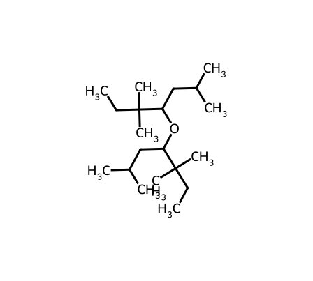 CCC(C)(C)C(CC(C)C)OC(CC(C)C)C(C)(C)CC